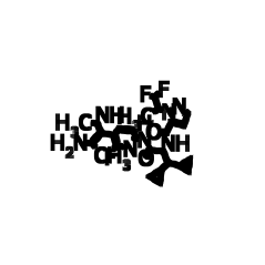 CC(=N)/C(=C(/C)N)c1ccc(NC(=O)[C@@H](NC(=O)c2ccnn2C(C)C(F)F)C(C2CC2)C2CC2)nc1F